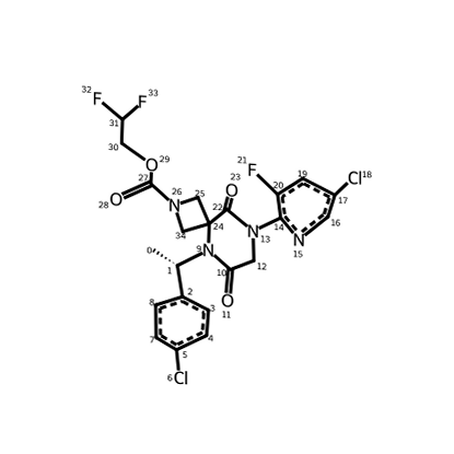 C[C@@H](c1ccc(Cl)cc1)N1C(=O)CN(c2ncc(Cl)cc2F)C(=O)C12CN(C(=O)OCC(F)F)C2